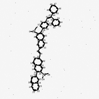 CN(C)c1cc2cc(/C=C/c3ccc4cc(-c5ccc6ccccc6c5)c(N(C)C)cc4c3)ccc2cc1-c1ccc(C=C(c2ccccc2)c2ccccc2)cc1